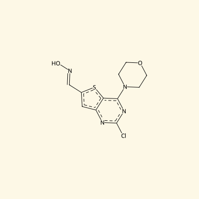 ON=Cc1cc2nc(Cl)nc(N3CCOCC3)c2s1